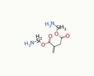 C=C(CC(=O)O[SiH2]N)C(=O)O[SiH2]N